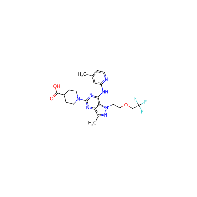 Cc1ccnc(Nc2nc(N3CCC(C(=O)O)CC3)nc3c(C)nn(CCOCC(F)(F)F)c23)c1